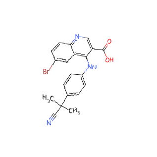 CC(C)(C#N)c1ccc(Nc2c(C(=O)O)cnc3ccc(Br)cc23)cc1